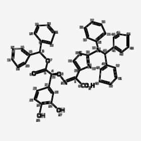 O=C(O)C(=NO[C@H](C(=O)OC(c1ccccc1)c1ccccc1)c1ccc(O)c(O)c1)c1csc(N(c2ccccc2)C(c2ccccc2)c2ccccc2)n1